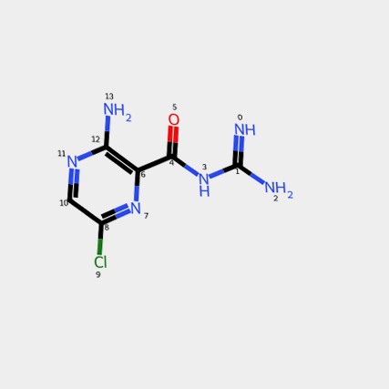 N=C(N)NC(=O)c1nc(Cl)cnc1N